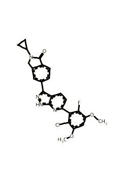 COc1cc(OC)c(Cl)c(-c2ccc3c(-c4ccc5c(c4)CN(C4CC4)C5=O)n[nH]c3n2)c1F